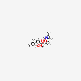 Cc1cc(-c2cc(C)cc(-c3cc(C)cc(-c4c(C(C)C)cc(C(C)C)cc4C(C)C)c3O)c2OCCN(C)C)c(O)c(-c2c(C(C)C)cc(C(C)C)cc2C(C)C)c1